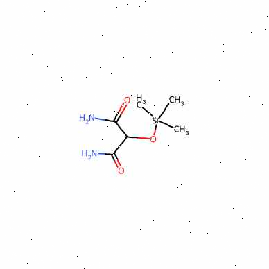 C[Si](C)(C)OC(C(N)=O)C(N)=O